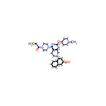 C=CC(=O)N1CCN(c2nc(OC3CCN(C)CC3)nc3c2CCN(c2cc(O)cc4ccccc24)C3)CC1